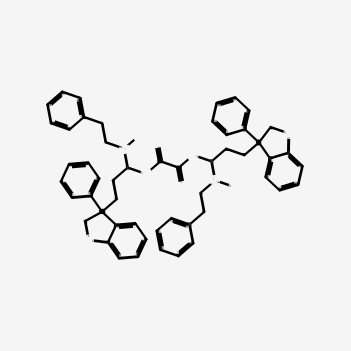 CN(CCc1ccccc1)C(CCC1(c2ccccc2)COc2ccccc21)OC(=O)C(=O)OC(CCC1(c2ccccc2)COc2ccccc21)N(C)CCc1ccccc1